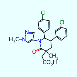 Cn1cc(N2C(=O)[C@@](C)(CC(=O)O)CC(c3cccc(Cl)c3)C2c2ccc(Cl)cc2)cn1